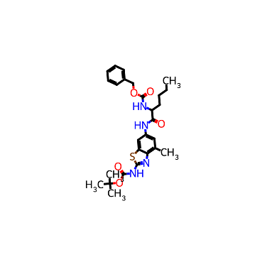 CCCCC(NC(=O)OCc1ccccc1)C(=O)Nc1cc(C)c2nc(NC(=O)OC(C)(C)C)sc2c1